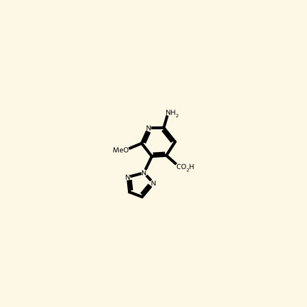 COc1nc(N)cc(C(=O)O)c1-n1nccn1